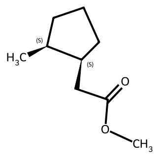 COC(=O)C[C@@H]1CCC[C@@H]1C